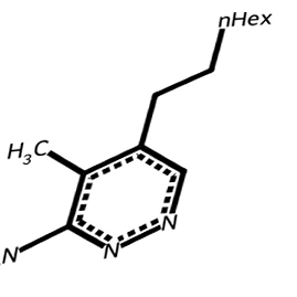 CCCCCCCCc1cnnc(N)c1C